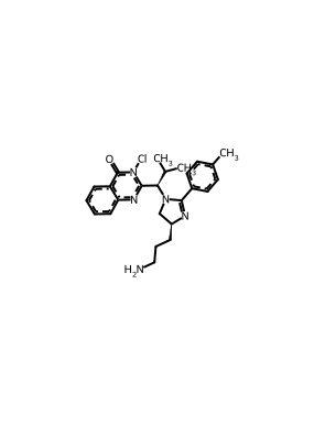 Cc1ccc(C2=N[C@@H](CCCN)CN2[C@@H](c2nc3ccccc3c(=O)n2Cl)C(C)C)cc1